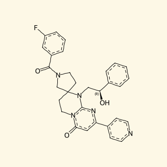 O=C(c1cccc(F)c1)N1CCC2(CCn3c(nc(-c4ccncc4)cc3=O)N2C[C@H](O)c2ccccc2)C1